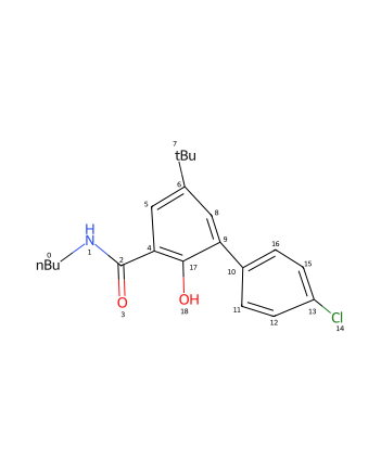 CCCCNC(=O)c1cc(C(C)(C)C)cc(-c2ccc(Cl)cc2)c1O